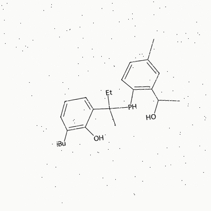 CCC(C)c1cccc(C(C)(CC)Pc2ccc(C)cc2C(C)O)c1O